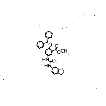 COC(=O)c1cc(NC(=O)Nc2ccc3c(c2)CCC3)ccc1OC(c1ccccc1)c1ccccc1